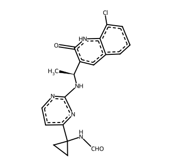 C[C@H](Nc1nccc(C2(NC=O)CC2)n1)c1cc2cccc(Cl)c2[nH]c1=O